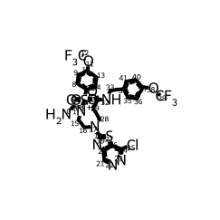 NC(=O)[N@@+]1(S(=O)(=O)c2ccc(OC(F)(F)F)cc2)CCN(c2nc3cnnc(Cl)c3s2)CC1C(=O)NCc1ccc(OC(F)(F)F)cc1